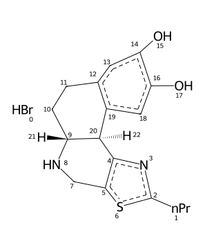 Br.CCCc1nc2c(s1)CN[C@@H]1CCc3cc(O)c(O)cc3[C@@H]21